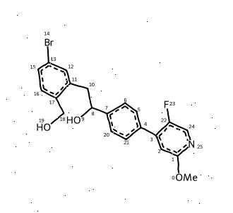 COc1cc(-c2ccc(C(O)Cc3cc(Br)ccc3CO)cc2)c(F)cn1